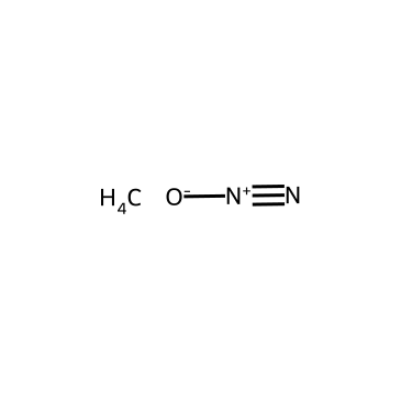 C.N#[N+][O-]